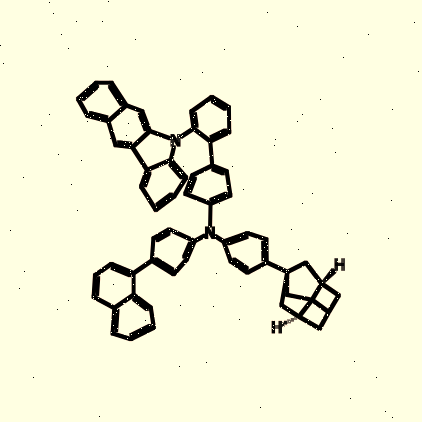 c1ccc(-n2c3ccccc3c3cc4ccccc4cc32)c(-c2ccc(N(c3ccc(-c4cccc5ccccc45)cc3)c3ccc(C45C[C@@H]6CC7C[C@@H](C4)C76C5)cc3)cc2)c1